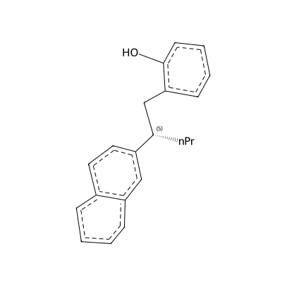 CCC[C@@H](Cc1ccccc1O)c1ccc2ccccc2c1